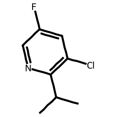 CC(C)c1ncc(F)cc1Cl